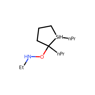 CCC[SiH]1CCCC1(CCC)ONCC